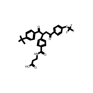 CC(C)(C)c1ccc(C(=O)C(CC(=O)c2ccc(SC(F)(F)F)cc2)c2ccc(C(=O)NCCC(=O)O)cc2)cc1